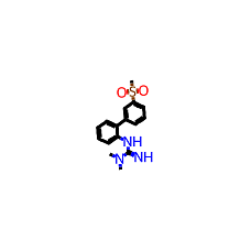 CN(C)C(=N)Nc1ccccc1-c1cccc(S(C)(=O)=O)c1